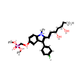 CC(C)OP(=O)(COc1ccc2c(c1)c(-c1ccc(F)cc1)c(/C=C/[C@@H](O)C[C@@H](O)CC(=O)O)n2C(C)C)OC(C)C